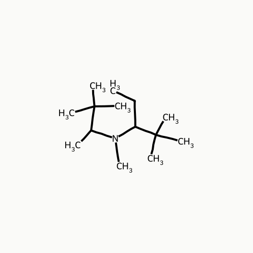 CCC(N(C)C(C)C(C)(C)C)C(C)(C)C